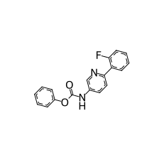 O=C(Nc1ccc(-c2ccccc2F)nc1)Oc1ccccc1